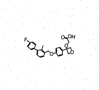 Cc1c(COc2ccc(C3(OCC(=O)O)COC3)cc2)cccc1-c1ccc(F)cc1